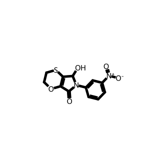 O=C1C2=C(SCCO2)C(O)N1c1cccc([N+](=O)[O-])c1